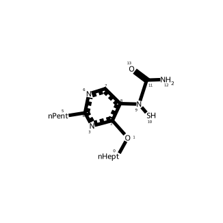 CCCCCCCOc1nc(CCCCC)ncc1N(S)C(N)=O